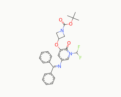 CC(C)(C)OC(=O)N1CC(Oc2cc(N=C(c3ccccc3)c3ccccc3)cn(C(F)F)c2=O)C1